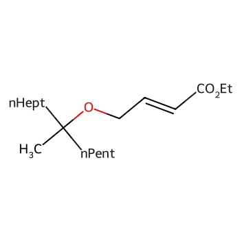 CCCCCCCC(C)(CCCCC)OC/C=C/C(=O)OCC